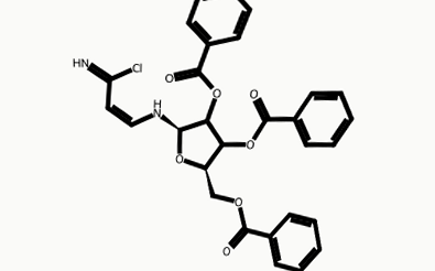 N=C(Cl)/C=C\N[C@@H]1O[C@H](COC(=O)c2ccccc2)C(OC(=O)c2ccccc2)C1OC(=O)c1ccccc1